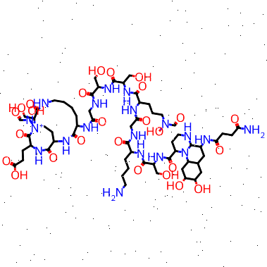 NCCCCC(NC(=O)C(CO)NC(=O)C1CCNC2C(NC(=O)CCC(N)=O)CC3CC(O)C(O)CC3N12)C(=O)NCC(=O)NC(CCCN(O)C=O)C(=O)NC(CO)C(=O)NC(CO)C(=O)NCC(=O)NC1CCCCNC(=O)C(CO)[N+]2(N(O)C=O)CCC(NC1=O)C(=O)NC(CCC(=O)O)C2=O